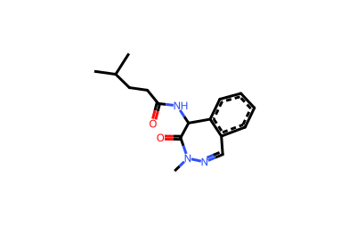 CC(C)CCC(=O)NC1C(=O)N(C)N=Cc2ccccc21